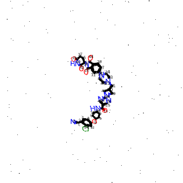 N#Cc1ccc(O[C@H]2CC[C@H](NC(=O)c3cnc(N4CC(CN5CCN(c6ccc7c(c6)C(=O)N(C6CCC(=O)NC6=O)C7=O)CC5)C4)nc3)CC2)cc1Cl